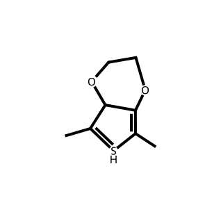 CC1=[SH]C(C)=C2OCCOC12